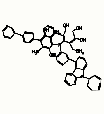 BCC(=C(\O)CO)/C(=C(\CO)c1ccccc1)N(c1cccc(-c2cccc3c2c2ccccc2n3C2C=CC=CCC2)c1)c1c(B)c(O)c(-c2ccc(-c3ccccc3)cc2)c(B)c1O